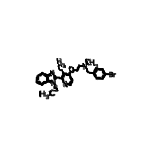 CSn1c(-c2nccc(OCCN(C)Cc3ccc(Br)cc3)c2C)nc2ccccc21